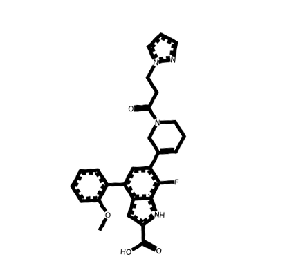 COc1ccccc1-c1cc(C2=CCCN(C(=O)CCn3cccn3)C2)c(F)c2[nH]c(C(=O)O)cc12